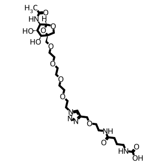 CC(=O)N[C@H]1[C@H]2OC[C@@](COCCOCCOCCOCCn3cc(COCCNC(=O)CCCNC(=O)O)nn3)(O2)[C@H](O)[C@@H]1O